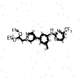 CCOC(Cn1cc(-c2cc(C)cc(Nc3nccc(C(F)(F)F)n3)c2)cn1)OCC